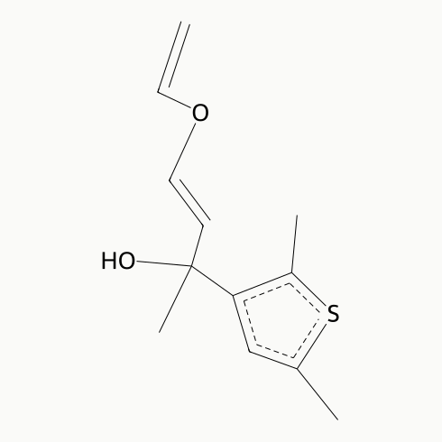 C=COC=CC(C)(O)c1cc(C)sc1C